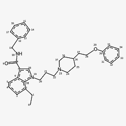 CCc1cccc2c(C(=O)NCc3ccccc3)cn(CCCN3CCC(CCOc4ccccc4)CC3)c12